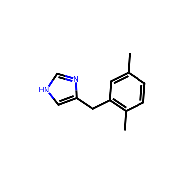 Cc1ccc(C)c(Cc2c[nH]cn2)c1